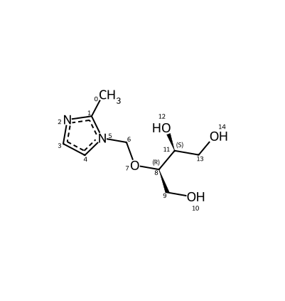 Cc1nccn1CO[C@H](CO)[C@@H](O)CO